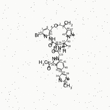 C=C1COCc2ccc(Br)nc2NC(=O)[C@@H]2C[C@]3(C[C@H]3N2C(=O)Cn2nc(C(C)=O)c3cc(-c4cnc(C)nc4)ccc32)Cn2cc1cn2